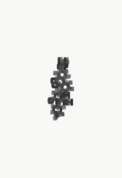 CN1CCC(N2C(=N)N[C@](C)(c3cccc(-c4ccc(OC(F)(F)F)cc4Cl)c3Cl)CC2=O)CC1